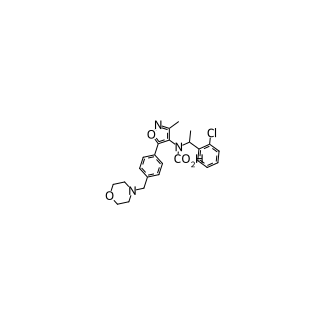 Cc1noc(-c2ccc(CN3CCOCC3)cc2)c1N(C(=O)O)C(C)c1ccccc1Cl